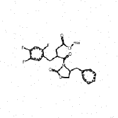 CC(C)(C)OC(=O)CC(Cc1cc(F)c(F)cc1F)C(=O)N1C(=O)OCC1Cc1ccccc1